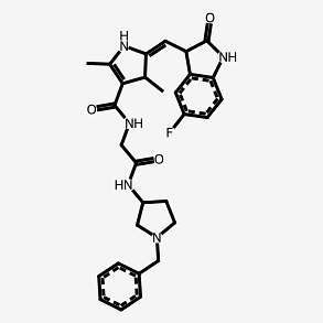 CC1=C(C(=O)NCC(=O)NC2CCN(Cc3ccccc3)C2)C(C)C(=CC2C(=O)Nc3ccc(F)cc32)N1